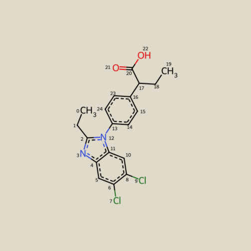 CCc1nc2cc(Cl)c(Cl)cc2n1-c1ccc(C(CC)C(=O)O)cc1